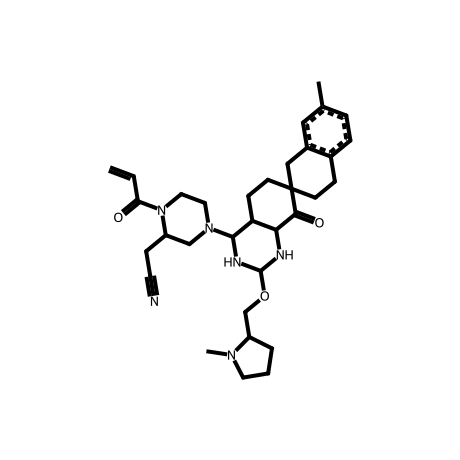 C=CC(=O)N1CCN(C2NC(OCC3CCCN3C)NC3C(=O)C4(CCc5ccc(C)cc5C4)CCC32)CC1CC#N